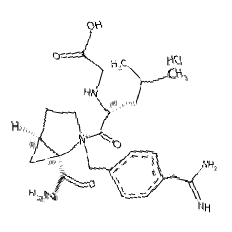 CC(C)C[C@@H](NCC(=O)O)C(=O)[N+]1(Cc2ccc(C(=N)N)cc2)CC[C@@H]2C[C@@]21C(N)=O.Cl